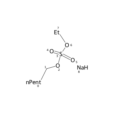 CCCCCCOS(=O)(=O)OCC.[NaH]